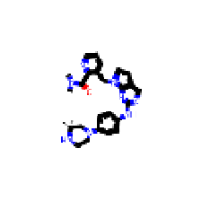 C[C@@H]1CN(c2ccc(Nc3ncc4ccn(Cc5cccnc5C(=O)N(C)C)c4n3)cc2)CCN1